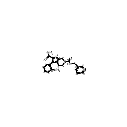 NC(=O)c1sc2c(c1-c1ccccc1N)CCN(C(=O)NCc1cccnc1)C2